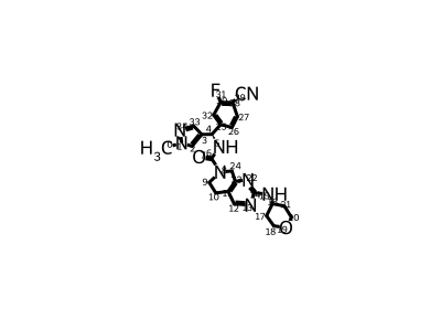 Cn1cc([C@@H](NC(=O)N2CCc3cnc(NC4CCOCC4)nc3C2)c2ccc(C#N)c(F)c2)cn1